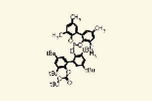 Cc1cc(C)c2op(Oc3c(-c4cc(C(C)(C)C)cc(C(C)(C)C)c4OC(=O)OC(C)(C)C)cc(C(C)(C)C)cc3C(C)(C)C)oc3c(C)cc(C)cc3c2c1